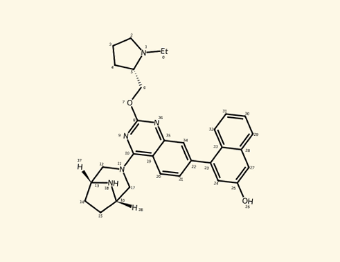 CCN1CCC[C@H]1COc1nc(N2C[C@H]3CC[C@@H](C2)N3)c2ccc(-c3cc(O)cc4ccccc34)cc2n1